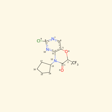 O=C1C(C(F)(F)F)Oc2cnc(Cl)nc2N1C1CCCC1